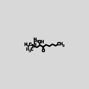 CCCCCC(=O)C(O)C[N+](C)(C)C